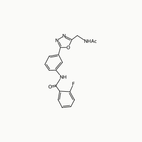 CC(=O)NCc1nnc(-c2cccc(NC(=O)c3ccccc3F)c2)o1